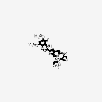 C=CC(=O)NC1COCC1Nc1cc2cc(C(=O)Nc3c(F)c(OC)cc(OC)c3Cl)sc2cn1